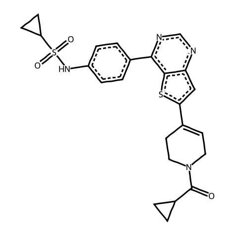 O=C(C1CC1)N1CC=C(c2cc3ncnc(-c4ccc(NS(=O)(=O)C5CC5)cc4)c3s2)CC1